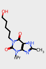 CCCn1c(=O)n(CCCCCO)c(=O)c2[nH]c(C)nc21